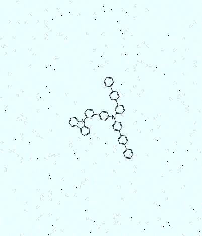 c1ccc(-c2ccc(-c3ccc(N(c4ccc(-c5cccc(-n6c7ccccc7c7ccccc76)c5)cc4)c4cccc(-c5ccc(-c6ccccc6)cc5)c4)cc3)cc2)cc1